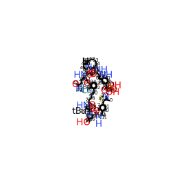 Cc1ncsc1-c1ccc([C@H](C)NC(=O)[C@@H]2C[C@@H](O)CN2C(=O)[C@@H](NC(=O)CCCCc2cccc(OC[C@H](CCC(N)=O)NC(=O)[C@@H]3CC[C@@H]4CCCC[C@H](NC(=O)c5cc6cc(C(=O)P(=O)(O)O)ccc6[nH]5)C(=O)N43)c2Cl)C(C)(C)C)cc1